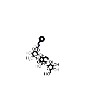 C[C@@H]1O[C@@H](O[C@H]2[C@@H]3C=CO[C@@H](O[C@@H]4O[C@H](CO)[C@@H](O)[C@H](O)[C@H]4O)[C@@H]3[C@@]3(CO)O[C@@H]23)[C@H](OC(=O)/C=C/c2ccccc2)[C@H](O)[C@H]1O